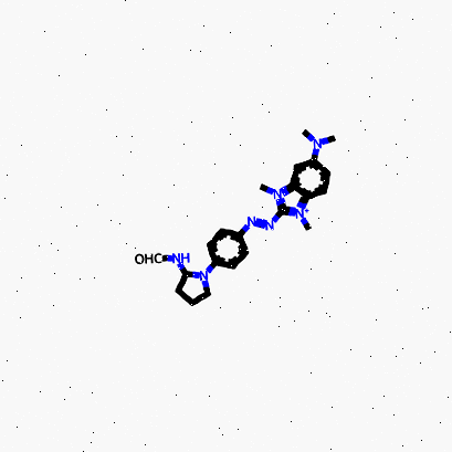 CN(C)c1ccc2c(c1)n(C)c(N=Nc1ccc(N3CCCC3NC=O)cc1)[n+]2C